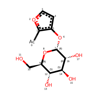 CC(=O)c1occc1O[C@H]1O[C@H](CO)[C@@H](O)[C@H](O)[C@H]1O